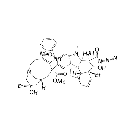 CC[C@]1(O)C[C@@H]2CN(CCc3c([nH]c4ccccc34)[C@@](C(=O)OC)(c3cc4c(cc3OC)N(C)[C@H]3[C@@](O)(C(=O)N=[N+]=[N-])[C@H](O)[C@]5(CC)C=CCN6CC[C@]43[C@@H]65)C2)C1